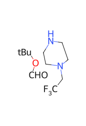 CC(C)(C)OC=O.FC(F)(F)CN1CCNCC1